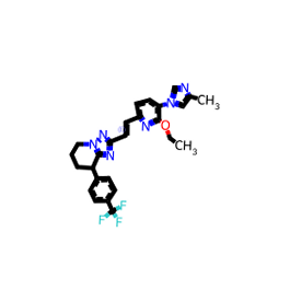 CCOc1nc(/C=C/c2nc3n(n2)CCCC3c2ccc(C(F)(F)F)cc2)ccc1-n1cnc(C)c1